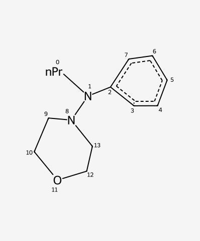 CCCN(c1[c]cccc1)N1CCOCC1